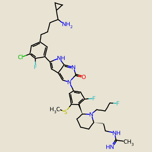 CSc1cc(-n2cc3cc(-c4cc(CCCC(N)C5CC5)cc(Cl)c4F)[nH]c3nc2=O)cc(F)c1[C@@H]1CCC[C@@H](CCNC(C)=N)N1CCCF